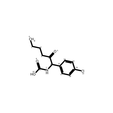 CCCCC(=O)C(NC(=O)O)c1ccc(Cl)cc1